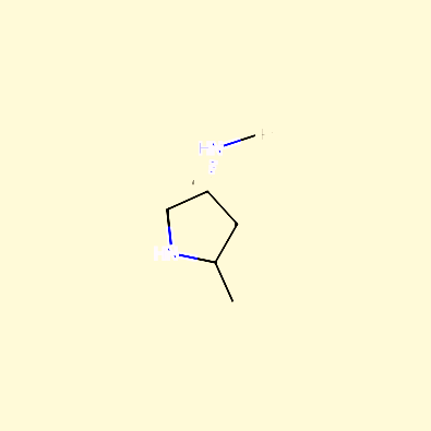 CC(C)N[C@H]1CNC(C)C1